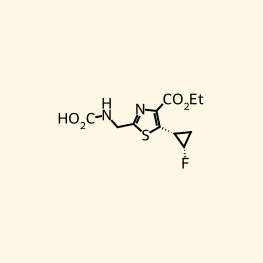 CCOC(=O)c1nc(CNC(=O)O)sc1[C@@H]1C[C@@H]1F